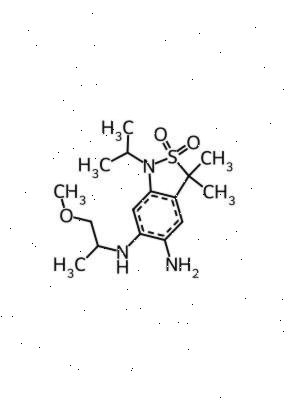 COCC(C)Nc1cc2c(cc1N)C(C)(C)S(=O)(=O)N2C(C)C